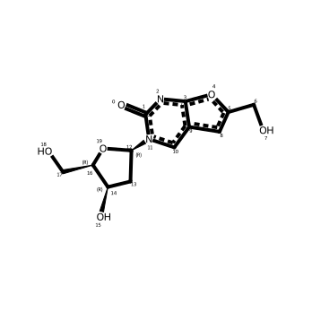 O=c1nc2oc(CO)cc2cn1[C@H]1C[C@@H](O)[C@@H](CO)O1